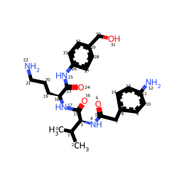 CC(C)[C@H](NC(=O)Cc1ccc(N)cc1)C(=O)N[C@@H](CCCN)C(=O)Nc1ccc(CO)cc1